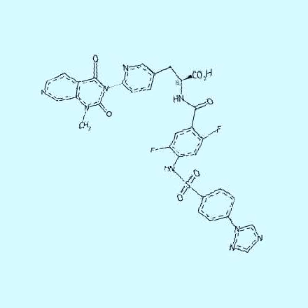 Cn1c(=O)n(-c2ccc(C[C@H](NC(=O)c3cc(F)c(NS(=O)(=O)c4ccc(-n5cncn5)cc4)cc3F)C(=O)O)cn2)c(=O)c2ccncc21